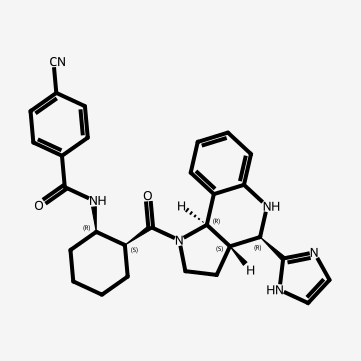 N#Cc1ccc(C(=O)N[C@@H]2CCCC[C@@H]2C(=O)N2CC[C@H]3[C@H](c4ncc[nH]4)Nc4ccccc4[C@@H]32)cc1